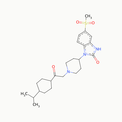 CC(C)C1CCC(C(=O)CN2CCC(n3c(=O)[nH]c4cc(S(C)(=O)=O)ccc43)CC2)CC1